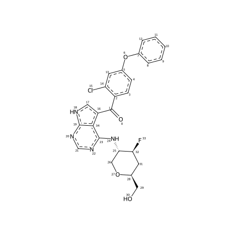 O=C(c1ccc(Oc2ccccc2)cc1Cl)c1c[nH]c2ncnc(N[C@H]3CO[C@H](CO)C[C@@H]3F)c12